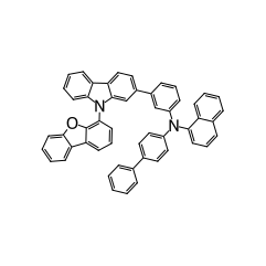 c1ccc(-c2ccc(N(c3cccc(-c4ccc5c6ccccc6n(-c6cccc7c6oc6ccccc67)c5c4)c3)c3cccc4ccccc34)cc2)cc1